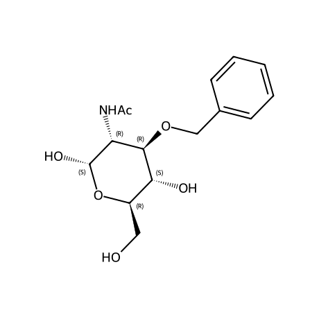 CC(=O)N[C@@H]1[C@@H](OCc2ccccc2)[C@H](O)[C@@H](CO)O[C@@H]1O